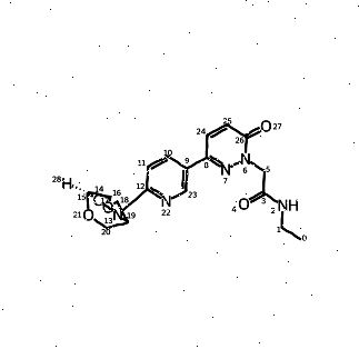 CCNC(=O)Cn1nc(-c2ccc(N3C[C@@H]4COCC3CO4)nc2)ccc1=O